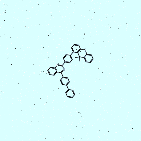 CC1(C)c2ccccc2Sc2cccc(-c3ccc(-c4nc(-c5ccc(-c6ccccc6)cc5)c5ccccc5n4)cc3)c21